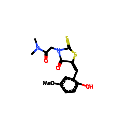 COc1ccc(O)c(/C=C2/SC(=S)N(CC(=O)N(C)C)C2=O)c1